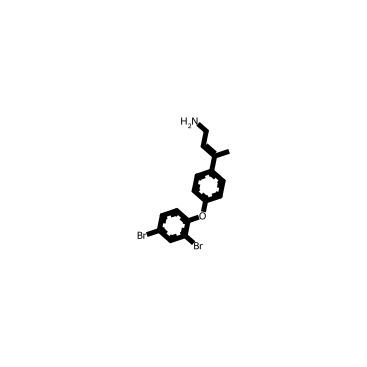 CC(=CCN)c1ccc(Oc2ccc(Br)cc2Br)cc1